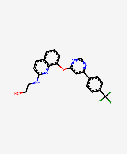 OCCNc1ccc2cccc(Oc3cc(-c4ccc(C(F)(F)F)cc4)ncn3)c2n1